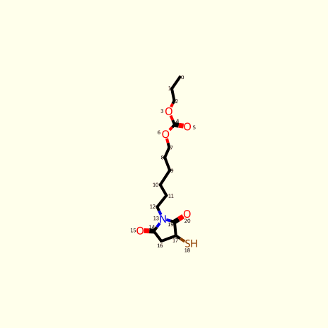 CCCOC(=O)OCCCCCCN1C(=O)CC(S)C1=O